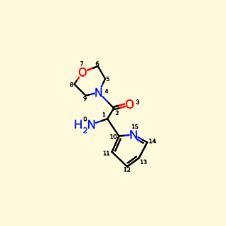 NC(C(=O)N1CCOCC1)c1ccccn1